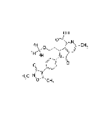 [2H]C([2H])([2H])OCCC1c2c(cc(C)nc2C(=O)O)C(=O)N1c1ccc(-c2c(C)on(C)c2=O)cc1